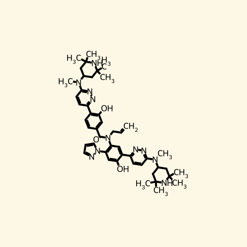 C=CCN(C(=O)c1ccc(-c2ccc(N(C)C3CC(C)(C)NC(C)(C)C3)nn2)c(O)c1)c1cc(-c2ccc(N(C)C3CC(C)(C)NC(C)(C)C3)nn2)c(O)cc1-n1cccn1